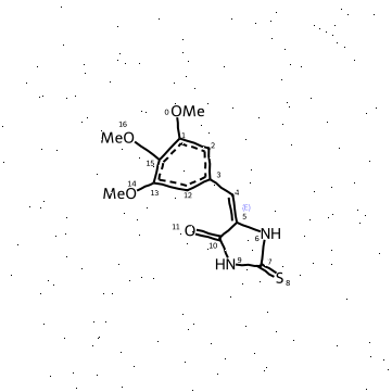 COc1cc(/C=C2/NC(=S)NC2=O)cc(OC)c1OC